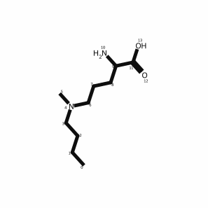 CCCCN(C)CCCC(N)C(=O)O